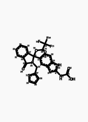 O=C(O)Nc1nc2cc(C3(OC(=O)C(F)(F)F)c4ccccc4C(=O)N3Cc3cccs3)ccc2[nH]1